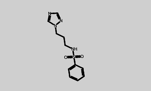 O=S(=O)(NCCCn1cncn1)c1ccccc1